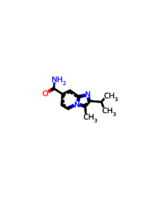 Cc1c(C(C)C)nc2cc(C(N)=O)ccn12